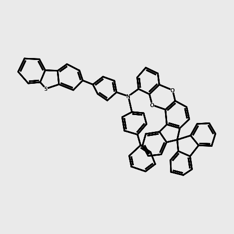 c1ccc(-c2ccc(N(c3ccc(-c4ccc5c(c4)sc4ccccc45)cc3)c3cccc4c3Oc3c(ccc5c3-c3ccccc3C53c5ccccc5-c5ccccc53)O4)cc2)cc1